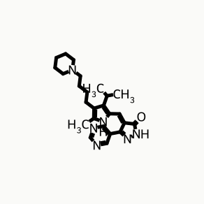 Cc1[nH]c(/C=C2/C(=O)NN=C2c2cncnc2)c(C(C)C)c1CCCCN1CCCCC1